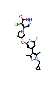 Cc1nn(CC2CC2)c(C)c1-c1cc(F)nc(O[C@@H]2CCN(c3cn[nH]c(=O)c3Cl)C2)c1